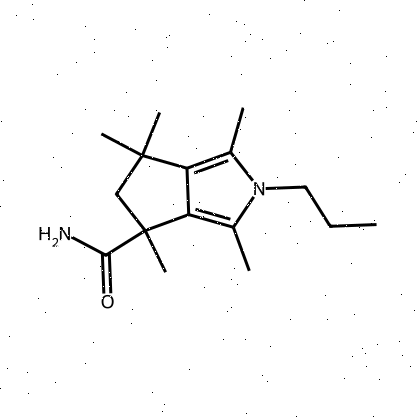 CCCn1c(C)c2c(c1C)C(C)(C(N)=O)CC2(C)C